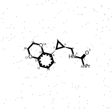 CCCC(=O)NC[C@@H]1C[C@H]1c1cccc2c1OCCO2